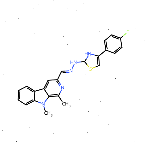 Cc1nc(C=NNC2NC(c3ccc(F)cc3)=CS2)cc2c3ccccc3n(C)c12